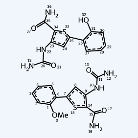 COc1ccccc1-c1cc(NC(N)=O)c(C(N)=O)s1.NC(=O)Nc1cc(-c2ccccc2O)sc1C(N)=O